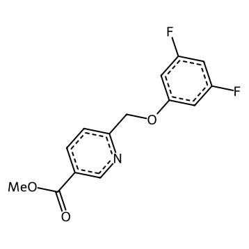 COC(=O)c1ccc(COc2cc(F)cc(F)c2)nc1